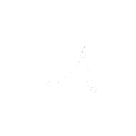 Cc1cc(C[C@@H](OC(=O)N2CCC(N3CCc4ccccc4NC3=O)CC2)C(=O)N2CCC(N3CCN(CCC(=O)OCC(=O)N(C)C)CC3)CC2)cc2oc(=O)[nH]c12